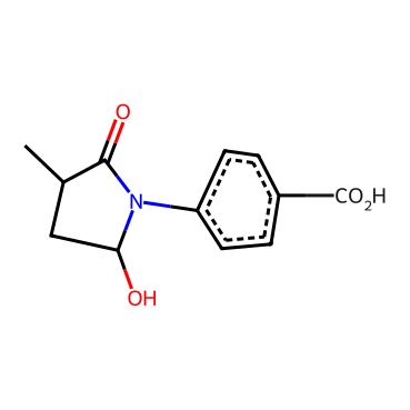 CC1CC(O)N(c2ccc(C(=O)O)cc2)C1=O